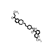 CCCC(=O)c1ccc2c(c1)CCN(CCC1CCC(NC(=O)c3cccc4nc(C)ccc34)CC1)CC2